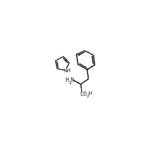 NC(Cc1ccccc1)C(=O)O.c1cc[nH]c1